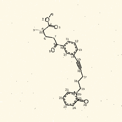 COC(=O)[C@@H](C)CCC(=O)c1cccc(C#CCCCn2ccccc2=O)c1